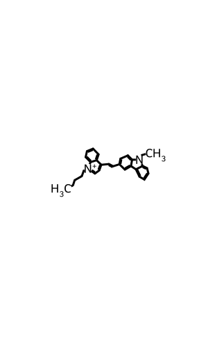 CCCCC[n+]1ccc(/C=C/c2ccc3c(c2)c2ccccc2n3CC)c2ccccc21